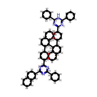 c1ccc(C2=NC(c3ccc(-c4ccc5ccccc5c4-c4c(-c5ccc(-c6nc(-c7ccccc7)nc(-c7ccc8ccccc8c7)n6)cc5)ccc5ccccc45)cc3)=NC(c3ccccc3)N2)cc1